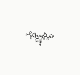 Nn1c(-c2n[nH]c3ncc(-c4cncc(NC(=O)C5CC5)c4)cc23)nc2c(C(=O)N3CCOCC3)cncc21